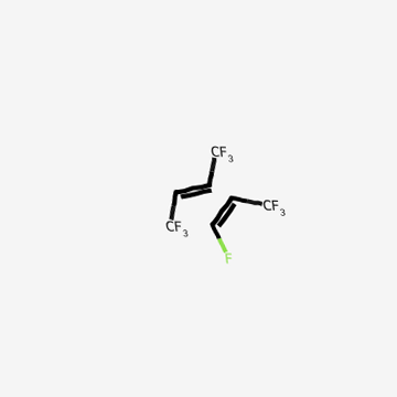 F/C=C\C(F)(F)F.FC(F)(F)/C=C/C(F)(F)F